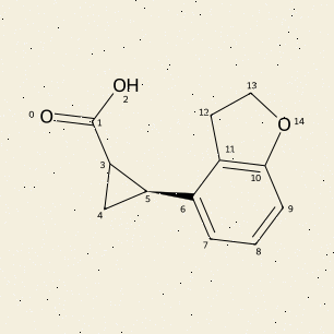 O=C(O)C1C[C@@H]1c1cccc2c1CCO2